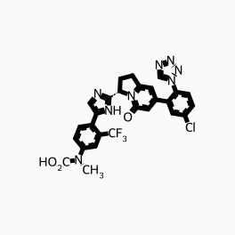 CN(C(=O)O)c1ccc(-c2cnc([C@@H]3CCc4cc(-c5cc(Cl)ccc5-n5cnnn5)cc(=O)n43)[nH]2)c(C(F)(F)F)c1